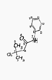 CC(C)(Cl)CC(=O)Nc1ccccc1